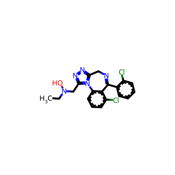 CCN(O)Cc1nnc2n1-c1cccc(Cl)c1C(c1ccccc1Cl)=NC2